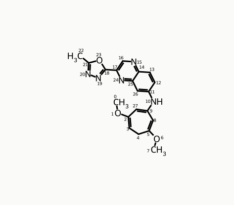 COC1=CCC(OC)=CC(Nc2ccc3ncc(-c4nnc(C)o4)nc3c2)=C1